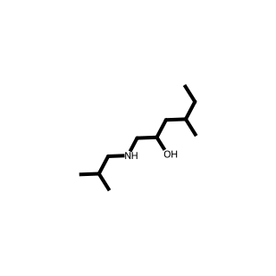 CCC(C)CC(O)CNCC(C)C